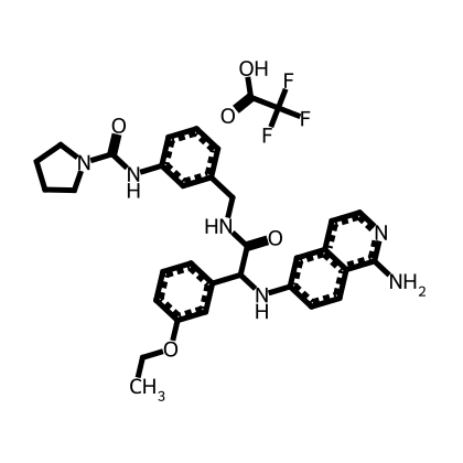 CCOc1cccc(C(Nc2ccc3c(N)nccc3c2)C(=O)NCc2cccc(NC(=O)N3CCCC3)c2)c1.O=C(O)C(F)(F)F